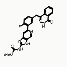 COC(=O)Nc1nc2cc(-c3cc(Cc4n[nH]c(=O)c5ccccc45)ccc3F)ncc2[nH]1